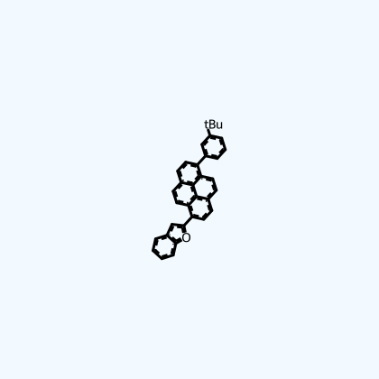 CC(C)(C)c1cccc(-c2ccc3ccc4c(-c5cc6ccccc6o5)ccc5ccc2c3c54)c1